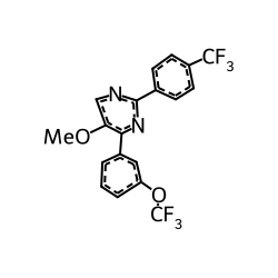 COc1cnc(-c2ccc(C(F)(F)F)cc2)nc1-c1cccc(OC(F)(F)F)c1